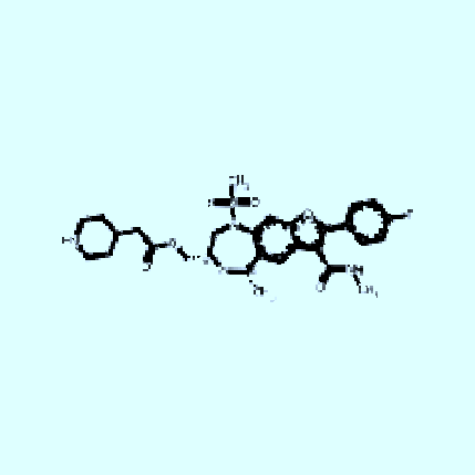 CNC(=O)c1c(-c2ccc(F)cc2)oc2cc3c(cc12)[C@H](C)O[C@H](COC(=O)CC1CCNCC1)CN3S(C)(=O)=O